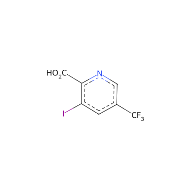 O=C(O)c1ncc(C(F)(F)F)cc1I